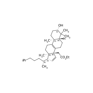 CCOC(=O)C[C@@]12C=C[C@H]([C@H](C)CCCC(C)C)[C@@]1(C)CCC1=C2CC[C@H]2C(C)(C)[C@@H](O)CC[C@]12C